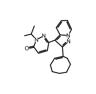 CC(C)n1nc(-c2c(C3=CCCCCCC3)nn3ccccc23)ccc1=O